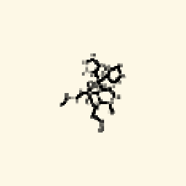 CCCCO[Si](CCCC)(CCCC)OC(CCC)(C1CCCC1)C1CCCC1